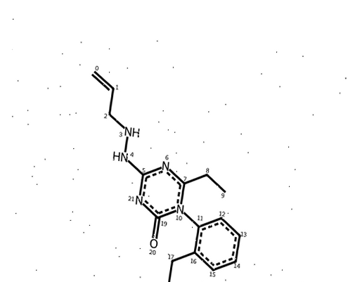 C=CCNNc1nc(CC)n(-c2ccccc2CC)c(=O)n1